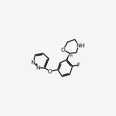 Fc1ccc(Oc2cccnn2)cc1[C@@H]1CNCCO1